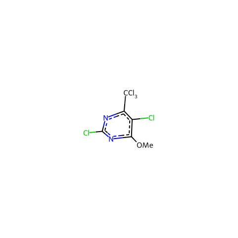 COc1nc(Cl)nc(C(Cl)(Cl)Cl)c1Cl